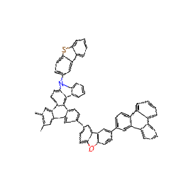 Cc1cc2c3cc(-c4ccc5oc6ccc(-c7ccc8c9ccccc9c9ccccc9c8c7)cc6c5c4)ccc3c3c(ccc4c3c3ccccc3n4-c3ccc4sc5ccccc5c4c3)c2cc1C